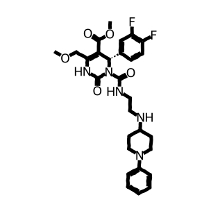 COCC1=C(C(=O)OC)[C@H](c2ccc(F)c(F)c2)N(C(=O)NCCNC2CCN(c3ccccc3)CC2)C(=O)N1